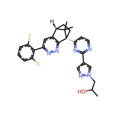 CC(O)Cn1cc(-c2nccc([C@]34CC[C@@H](c5cc(-c6c(F)cccc6F)nnc53)C4(C)C)n2)cn1